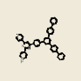 C1=CCCC(c2ccc(C3=CC(c4ccc(-c5ccccc5)cc4)=CC(C4=CCC(c5cc(-c6ccncc6)nc(C6=CCNC=C6)n5)C=C4)C3)cc2)=C1